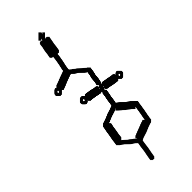 Cc1ccc(S(=O)(=O)CC(=O)C#N)cc1